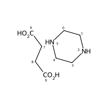 C1CNCCN1.O=C(O)CCC(=O)O